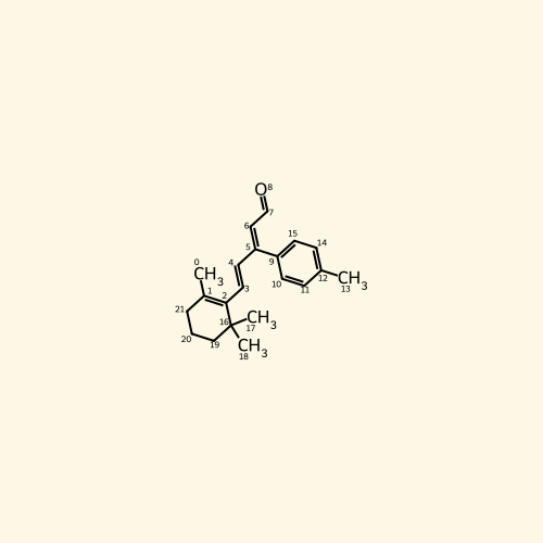 CC1=C(/C=C/C(=C/C=O)c2ccc(C)cc2)C(C)(C)CCC1